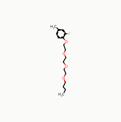 CCCCOCCOCCOCCOc1ccc(C)cc1F